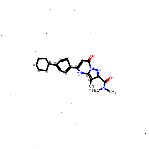 CN(C)C(=O)c1nn2c(=O)cc(-c3ccc(C4CCCCC4)cc3)[nH]c2c1C#N